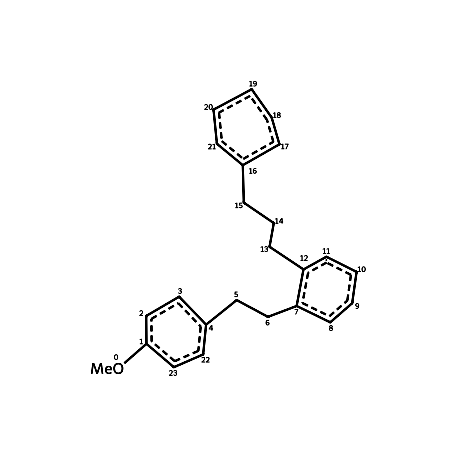 COc1ccc(CCc2ccc[c]c2CCCc2ccccc2)cc1